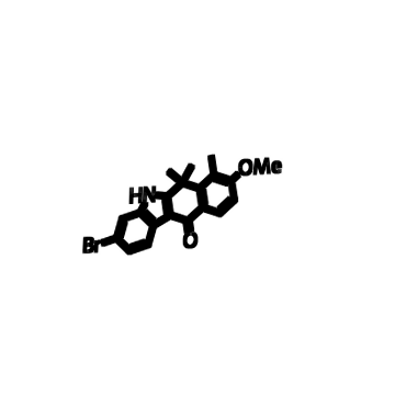 COc1ccc2c(c1C)C(C)(C)c1[nH]c3cc(Br)ccc3c1C2=O